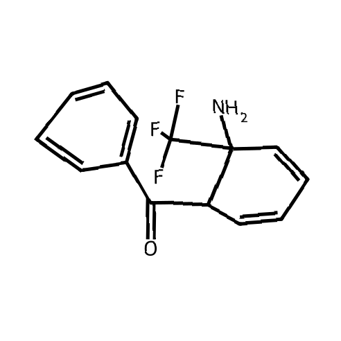 NC1(C(F)(F)F)C=CC=CC1C(=O)c1ccccc1